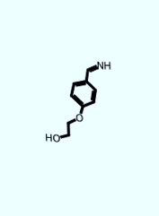 N=Cc1ccc(OCCO)cc1